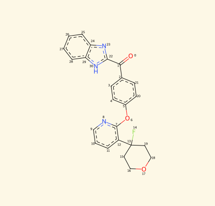 O=C(c1ccc(Oc2ncccc2C2(F)CCOCC2)cc1)c1nc2ccccc2[nH]1